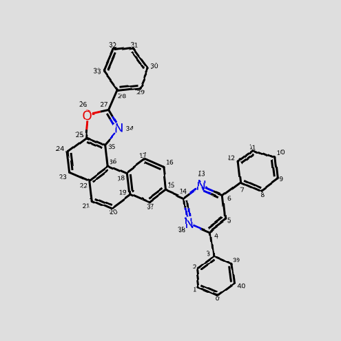 c1ccc(-c2cc(-c3ccccc3)nc(-c3ccc4c(ccc5ccc6oc(-c7ccccc7)nc6c54)c3)n2)cc1